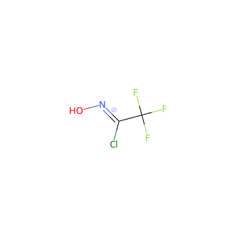 O/N=C(\Cl)C(F)(F)F